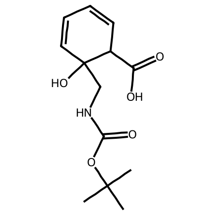 CC(C)(C)OC(=O)NCC1(O)C=CC=CC1C(=O)O